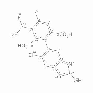 Cc1cc(C(=O)O)c(-c2cc3nc(S)sc3cc2Cl)c(C(=O)O)c1C(F)F